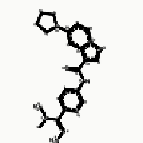 CN(N)/C(=N\N)c1ccc(NC(=O)c2cnn3ccc(N4CCCC4)cc23)cn1